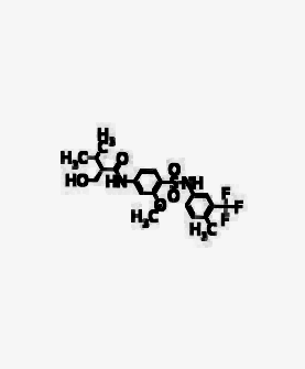 COc1cc(NC(=O)[C@@H](CO)C(C)C)ccc1S(=O)(=O)Nc1ccc(C)c(C(F)(F)F)c1